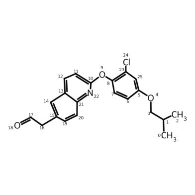 CC(C)COc1ccc(Oc2ccc3cc(CC=O)ccc3n2)c(Cl)c1